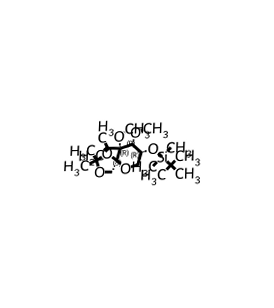 C=C(C)[C@@]1(OC)[C@H](OC)[C@H](O[Si](C)(C)C(C)(C)C)CO[C@]12COC(C)(C)O2